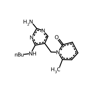 CCCCNc1nc(N)ncc1Cn1c(C)cccc1=O